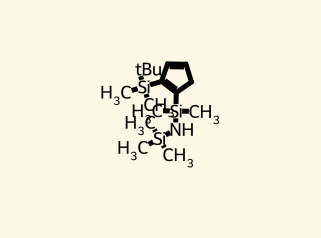 CC(C)(C)[Si](C)(C)C1=C([Si](C)(C)N[Si](C)(C)C)CC=C1